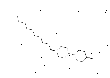 CCCCCCCCCC[C@H]1CC[C@H]([C@H]2CC[C@H](C)CC2)CC1